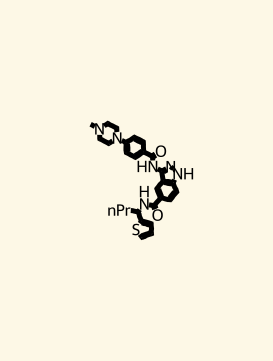 CCCC(NC(=O)c1ccc2[nH]nc(NC(=O)c3ccc(N4CCN(C)CC4)cc3)c2c1)c1cccs1